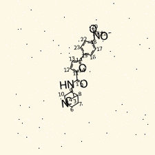 O=C(NC1CN2CCC1CC2)c1ccc(-c2ccc([N+](=O)[O-])cc2)o1